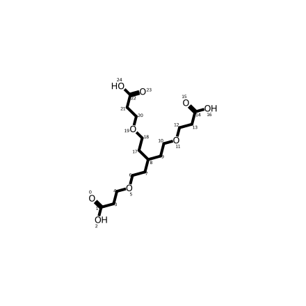 O=C(O)CCOCCC(CCOCCC(=O)O)CCOCCC(=O)O